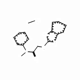 CN(C(=O)COc1nc2ccccc2s1)c1ccccc1.CO